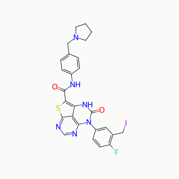 O=C(Nc1ccc(CN2CCCC2)cc1)c1sc2ncnc3c2c1NC(=O)N3c1ccc(F)c(CI)c1